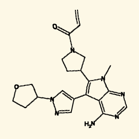 C=CC(=O)N1CCC(c2c(-c3cnn(C4CCOC4)c3)c3c(N)ncnc3n2C)C1